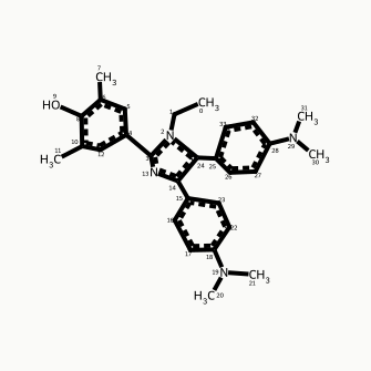 CCn1c(-c2cc(C)c(O)c(C)c2)nc(-c2ccc(N(C)C)cc2)c1-c1ccc(N(C)C)cc1